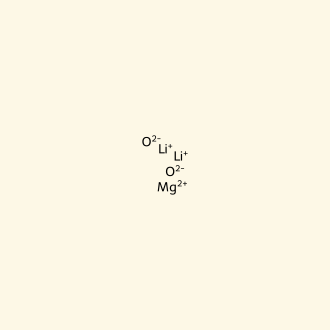 [Li+].[Li+].[Mg+2].[O-2].[O-2]